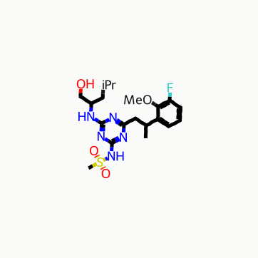 COc1c(F)cccc1C(C)Cc1nc(NC(CO)CC(C)C)nc(NS(C)(=O)=O)n1